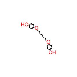 Oc1ccc(OCCCCCCCOc2ccc(O)cc2)cc1